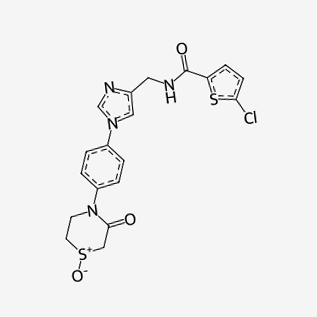 O=C(NCc1cn(-c2ccc(N3CC[S+]([O-])CC3=O)cc2)cn1)c1ccc(Cl)s1